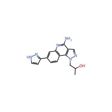 CC(O)Cn1ncc2c(N)nc3cc(-c4cc[nH]n4)ccc3c21